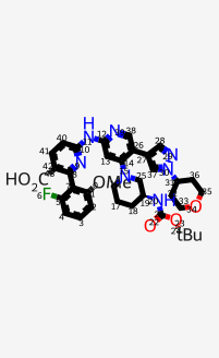 COc1cccc(F)c1-c1nc(Nc2cc(N3CCC[C@H](NC(=O)OC(C)(C)C)C3)c(-c3cnn(C4CCOCC4)c3)cn2)ccc1C(=O)O